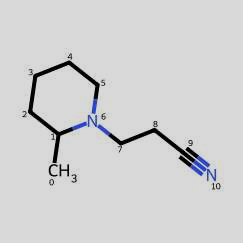 CC1CCCCN1CCC#N